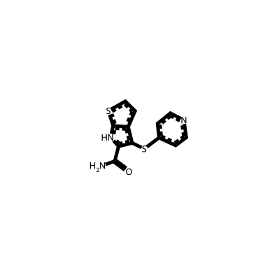 NC(=O)c1[nH]c2sccc2c1Sc1ccncc1